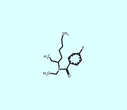 CCCCCC(CC)N(CC)C(=O)c1ccc(F)cc1